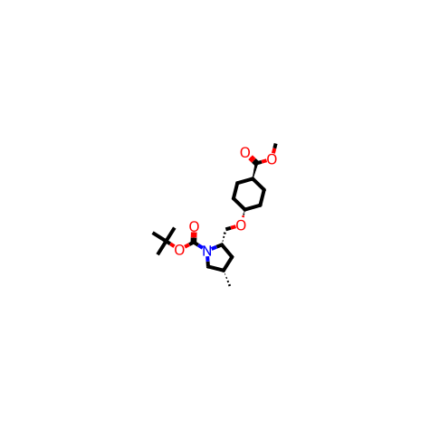 COC(=O)[C@H]1CC[C@H](OC[C@@H]2C[C@H](C)CN2C(=O)OC(C)(C)C)CC1